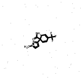 Cn1ccc(C2(C(N)=O)C=CC(C(F)(F)F)=CC2)n1